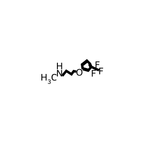 CNCCCCOc1cccc(C(F)(F)F)c1